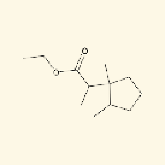 CCOC(=O)C(C)C1(C)CCCC1C